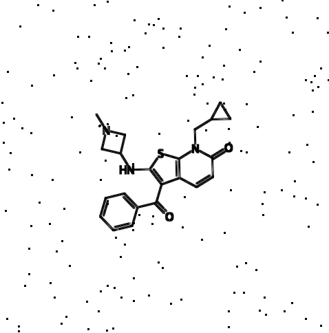 CN1CC(Nc2sc3c(ccc(=O)n3CC3CC3)c2C(=O)c2ccccc2)C1